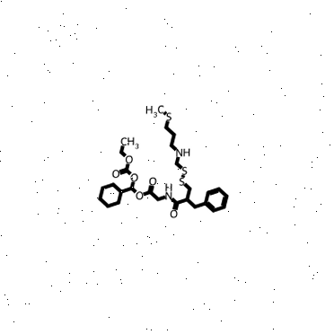 CCOC(=O)OC(OC(=O)CNC(=O)C(CSSCNCCCSC)Cc1ccccc1)C1CCCCC1